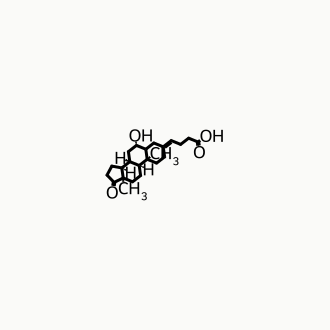 C[C@]12CC/C(=C\CCC(=O)O)CC1[C@@H](O)C[C@@H]1[C@@H]2CC[C@]2(C)C(=O)CC[C@@H]12